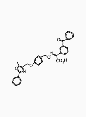 Cc1oc(-c2ccccc2)nc1COc1ccc(CO/N=C(\C(=O)O)c2cccc(C(=O)c3ccccc3)c2)cc1